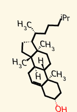 CC(C)CCC[C@@H](C)[C@H]1CC[C@@]2(C)[C@@H]3CC=C4C[C@@H](O)CC[C@]4(C)[C@H]3CC[C@]12C